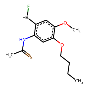 CCCCOc1cc(NC(C)=S)c(BF)cc1OC